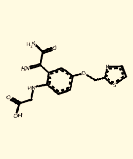 N=C(C(N)=O)c1cc(OCc2nccs2)ccc1NCC(=O)O